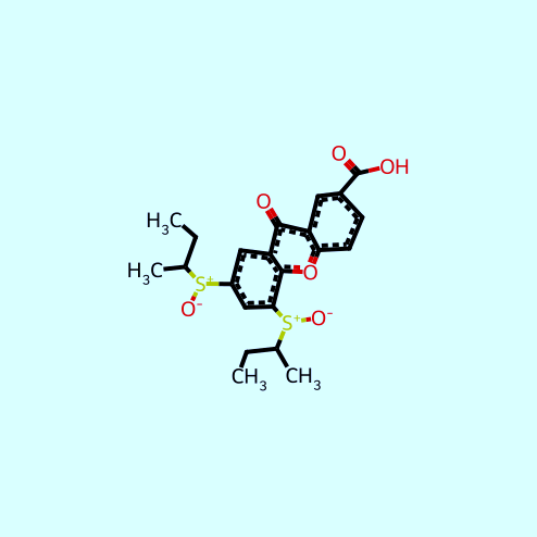 CCC(C)[S+]([O-])c1cc([S+]([O-])C(C)CC)c2oc3ccc(C(=O)O)cc3c(=O)c2c1